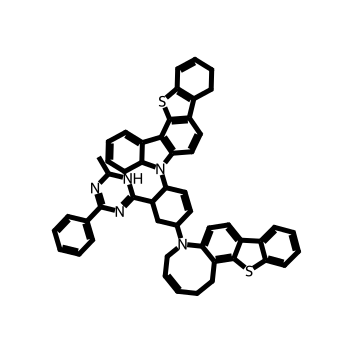 CC1N=C(c2ccccc2)N=C(C2CC(N3C/C=C\CCc4c3ccc3c4sc4ccccc43)C=CC2N2c3ccc4c5c(sc4c3C3=CC=CCC32)C=CCC5)N1